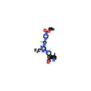 COC1(c2nccc(C)c2C2CCN(c3cc(N4C[C@@H](N5CCN(C(=O)OC(C)(C)C)CC5)[C@H]4C)nc(C(F)(F)F)n3)CC2)COC1